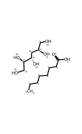 CCCCCCCC(=O)O.OC[C@@H](O)C[C@H](O)[C@H](O)CO